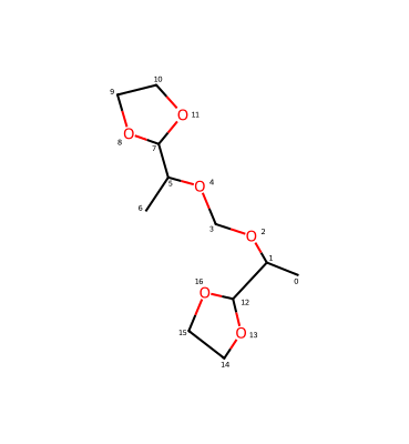 CC(OCOC(C)C1OCCO1)C1OCCO1